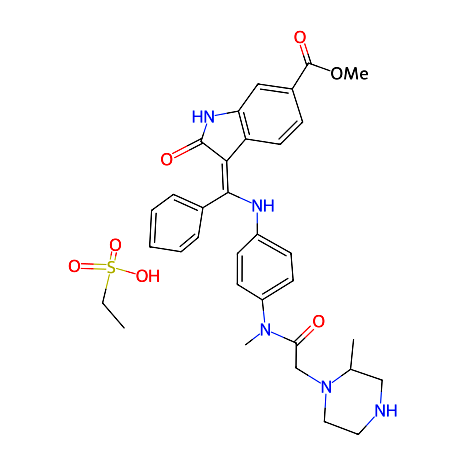 CCS(=O)(=O)O.COC(=O)c1ccc2c(c1)NC(=O)C2=C(Nc1ccc(N(C)C(=O)CN2CCNCC2C)cc1)c1ccccc1